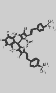 CCC1=C(C)/C(=C(\c2c(F)c(F)c(F)c(F)c2F)c2c(C)c(CC)c(/C=C/c3ccc(N(C)C)cc3)n2B(F)F)N=C1/C=C/c1ccc(N(C)C)cc1